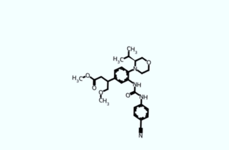 COCC(CC(=O)OC)c1ccc(N2CCOC[C@@H]2C(C)C)c(NC(=O)Nc2ccc(C#N)cc2)c1